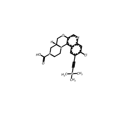 C[Si](C)(C)C#Cc1cc2c3c(cnc2cc1Cl)OC[C@H]1CN(C(=O)O)CCN31